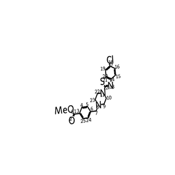 COC(=O)c1ccc(CN2CCN(c3nc4ccc(Cl)cc4s3)CC2)cc1